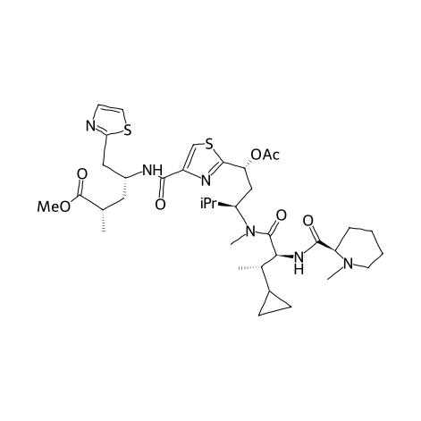 COC(=O)[C@@H](C)C[C@H](Cc1nccs1)NC(=O)c1csc([C@@H](C[C@H](C(C)C)N(C)C(=O)[C@@H](NC(=O)[C@H]2CCCCN2C)[C@@H](C)C2CC2)OC(C)=O)n1